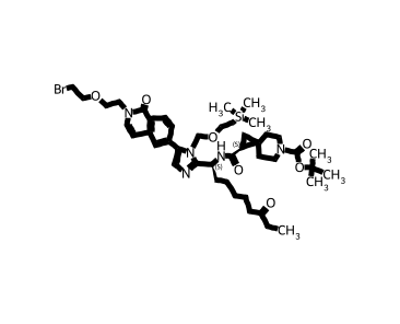 CCC(=O)CCCCC[C@H](NC(=O)[C@H]1CC12CCN(C(=O)OC(C)(C)C)CC2)c1ncc(-c2ccc3c(=O)n(CCOCCBr)ccc3c2)n1COCC[Si](C)(C)C